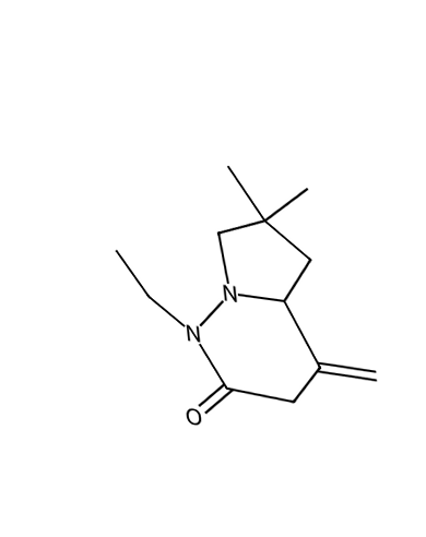 C=C1CC(=O)N(CC)N2CC(C)(C)CC12